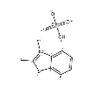 Cc1sc2ccccc2[n+]1C.O=S(=O)([O-])O